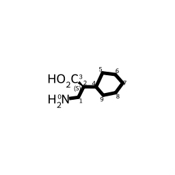 NC[C@@H](C(=O)O)C1CCCCC1